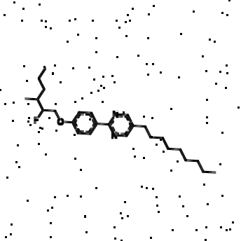 CCCCCCCCCc1cnc(-c2ccc(OCC(F)C(C)CCC)cc2)nc1